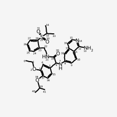 CCOc1cc(C(Nc2ccc3c(N)nccc3c2)C(=O)NCc2ccccc2S(=O)(=O)C(C)C)ccc1OC(C)C